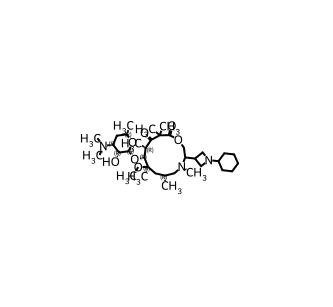 CO[C@]1(C)C[C@@H](C)CN(C)C(C2CN(C3CCCCC3)C2)COC(=O)C(C)(C)C(=O)[C@H](C)[C@H]1O[C@@H]1O[C@H](C)C[C@H](N(C)C)[C@H]1O